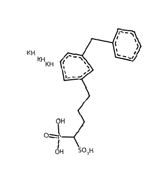 O=P(O)(O)C(CCCc1cccc(Cc2ccccc2)c1)S(=O)(=O)O.[KH].[KH].[KH]